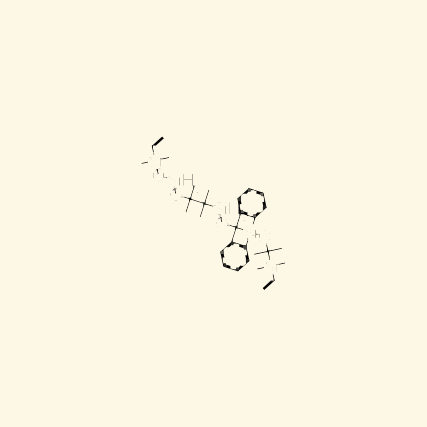 C=C[Si](C)(C)O[SiH2]OC(C)(C)C(C)(C)[SiH2]OC12c3ccccc3[Si]1(OC(C)(C)[Si](C)(C)C=C)c1ccccc12